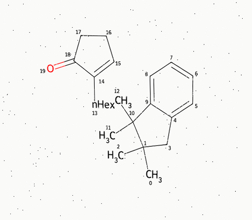 CC1(C)Cc2ccccc2C1(C)C.CCCCCCC1=CCCC1=O